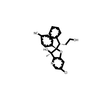 C[C@@]1(O)c2ncc(Cl)cc2O[C@@]1(c1ccc(C#N)cc1)[C@@H](CCO)c1ccccc1